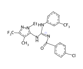 CCn1nc(C(F)(F)F)c(C)c1N/C(=N\C(=O)c1ccc(Cl)cc1)Nc1cccc(C(F)(F)F)c1